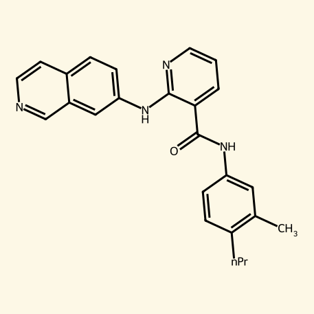 CCCc1ccc(NC(=O)c2cccnc2Nc2ccc3ccncc3c2)cc1C